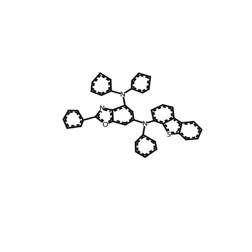 c1ccc(-c2nc3c(N(c4ccccc4)c4ccccc4)cc(N(c4ccccc4)c4cccc5c4sc4ccccc45)cc3o2)cc1